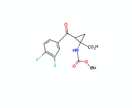 CC(C)(C)OC(=O)NC1(C(=O)O)CC1C(=O)c1ccc(F)c(F)c1